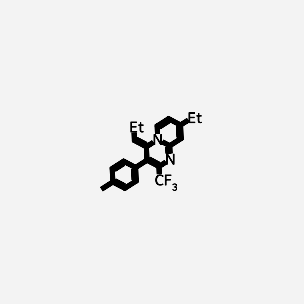 CC/C=C1/C(c2ccc(C)cc2)=C(C(F)(F)F)N=C2C=C(CC)C=CN21